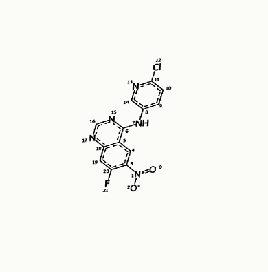 O=[N+]([O-])c1cc2c(Nc3ccc(Cl)nc3)ncnc2cc1F